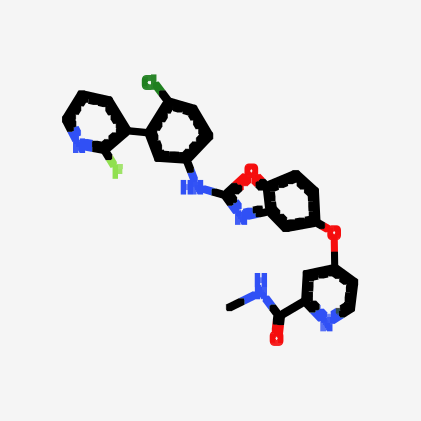 CNC(=O)c1cc(Oc2ccc3oc(Nc4ccc(Cl)c(-c5cccnc5F)c4)nc3c2)ccn1